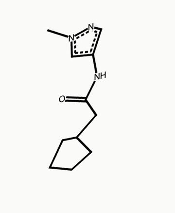 Cn1cc(NC(=O)CC2CCCC2)cn1